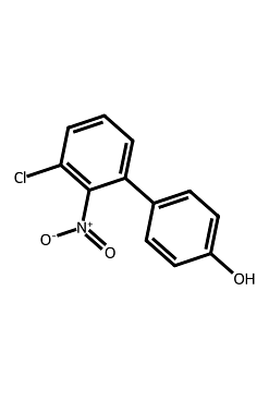 O=[N+]([O-])c1c(Cl)cccc1-c1ccc(O)cc1